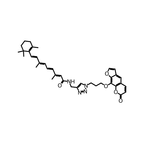 CC1=C(/C=C/C(C)=C/C=C/C(C)=C/C(=O)NCc2cn(CCCOc3c4occc4cc4ccc(=O)oc34)nn2)C(C)(C)CCC1